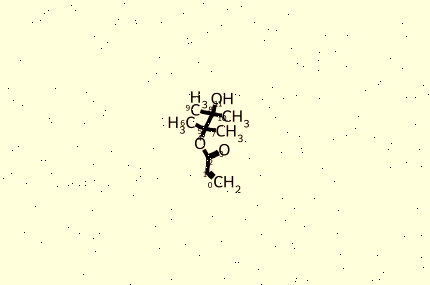 C=CC(=O)OC(C)(C)C(C)(C)O